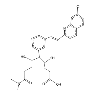 CN(C)C(=O)CCC(S)C(c1cccc(C=Cc2ccc3ccc(Cl)cc3n2)c1)C(S)CCC(=O)O